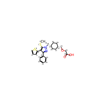 CSc1c(-c2cccs2)c(-c2ccccc2)nn1C[C@H]1CC[C@@H](COCC(=O)O)CC1